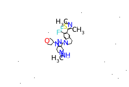 CNN1CCc2c(c(N3CCCc4cc(-c5sc(C)nc5C)c(C(F)F)cc43)nn2C2CCOCC2)C1